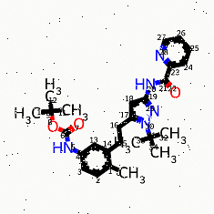 Cc1ccc(NC(=O)OC(C)(C)C)cc1CCc1cc(NC(=O)c2ccccn2)nn1C(C)(C)C